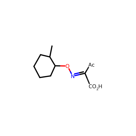 CC(=O)/C(=N\OC1CCCCC1C)C(=O)O